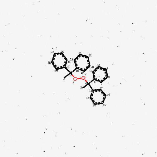 CC(OOC(C)(c1ccccc1)c1ccccc1)(c1ccccc1)c1ccccc1